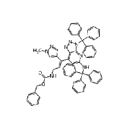 Cn1cc(C(=CCNC(=O)OCc2ccccc2)c2cc(NC(c3ccccc3)(c3ccccc3)c3ccccc3)nc3c2nnn3C(c2ccccc2)(c2ccccc2)c2ccccc2)cn1